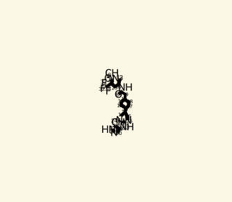 COc1ncc(NC(=O)Cc2ccc(-c3cnc(Nc4cn[nH]c4C)nc3)cc2)cc1C(F)(F)F